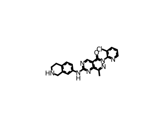 Cc1nn(-c2ncccc2Cl)c(=O)c2cnc(Nc3ccc4c(c3)CNCC4)nc12